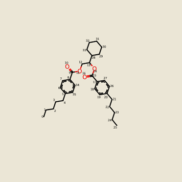 CCCCCc1ccc(C(=O)OCC(OC(=O)c2ccc(CCCCC)cc2)C2CCCCC2)cc1